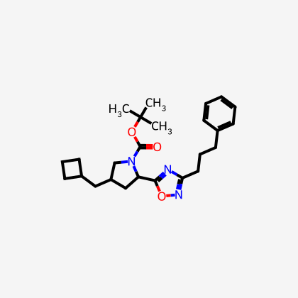 CC(C)(C)OC(=O)N1CC(CC2CCC2)CC1c1nc(CCCc2ccccc2)no1